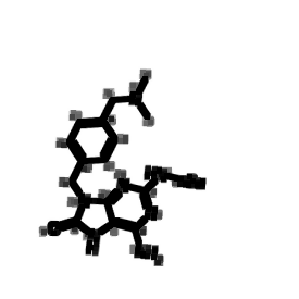 CCCCNc1nc(N)c2[nH]c(=O)n(Cc3ccc(CN(C)C)cc3)c2n1